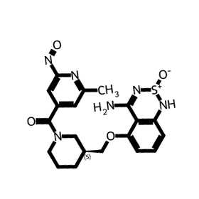 Cc1cc(C(=O)N2CCC[C@H](COc3cccc4c3C(N)=N[S+]([O-])N4)C2)cc(N=O)n1